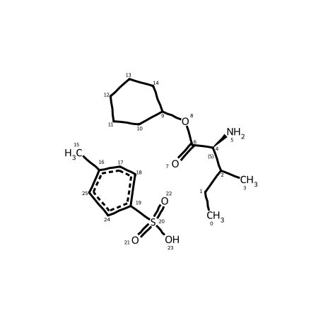 CCC(C)[C@H](N)C(=O)OC1CCCCC1.Cc1ccc(S(=O)(=O)O)cc1